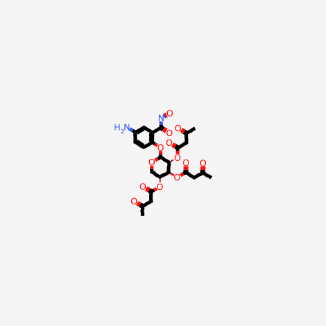 CC(=O)CC(=O)O[C@H]1[C@H](OC(=O)CC(C)=O)COC(Oc2ccc(N)cc2C(=O)N=O)[C@@H]1OC(=O)CC(C)=O